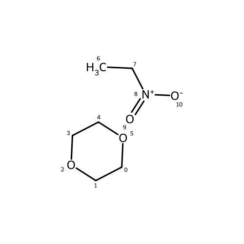 C1COCCO1.CC[N+](=O)[O-]